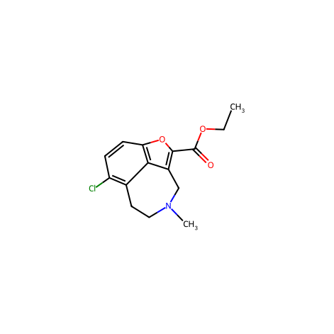 CCOC(=O)c1oc2ccc(Cl)c3c2c1CN(C)CC3